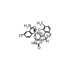 [2H]C([2H])([2H])[C@H](c1c(F)ccc(C)c1C)[C@H](NS(=O)(=O)c1ccc(Cl)cc1C(N)=O)c1n[nH]c(=O)o1